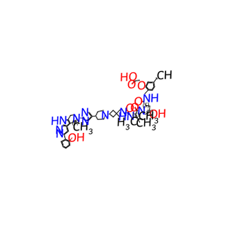 C#Cc1ccc(CNC(=O)[C@@H]2C[C@@H](O)CN2C(=O)[C@@H](NC(=O)N2CC3(CC(N4CCC(c5cnc(N6CCc7[nH]c8nnc(-c9ccccc9O)cc8c7[C@H]6C)nc5)CC4)C3)C2)C(C)(C)C)c(OCC(=O)O)c1